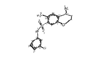 CC(=O)N1CCOc2cc(S(=O)(=O)Nc3cccc(Cl)c3)c(C)cc21